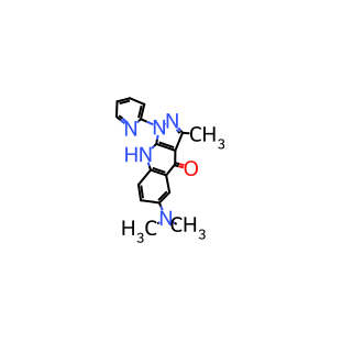 Cc1nn(-c2ccccn2)c2[nH]c3ccc(N(C)C)cc3c(=O)c12